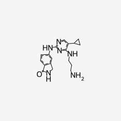 NCCCNc1nc(Nc2ccc3c(c2)CNC3=O)ncc1C1CC1